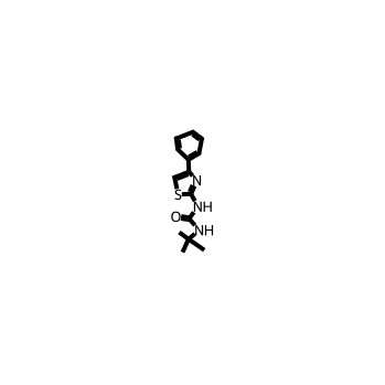 CC(C)(C)NC(=O)Nc1nc(-c2ccccc2)cs1